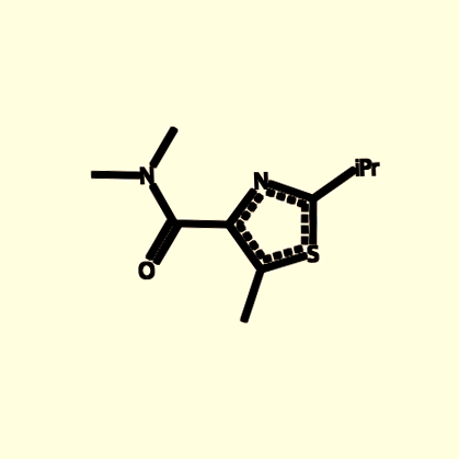 Cc1sc(C(C)C)nc1C(=O)N(C)C